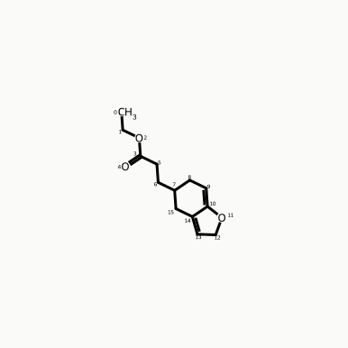 CCOC(=O)CCC1CC=C2OCC=C2C1